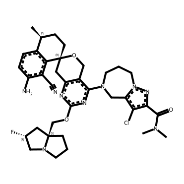 C[C@H]1CC[C@@]2(Cc3nc(OC[C@@]45CCCN4C[C@H](F)C5)nc(N4CCCn5nc(C(=O)N(C)C)c(Cl)c5C4)c3CO2)c2c1ccc(N)c2C#N